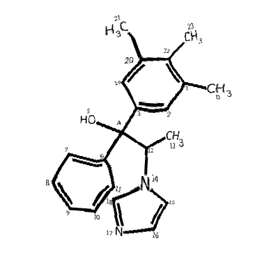 Cc1cc(C(O)(c2ccccc2)C(C)n2ccnc2)cc(C)c1C